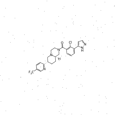 O=C(c1cccc(-c2ccn[nH]2)c1Cl)N1CCN2C[C@@H](c3ccc(C(F)(F)F)cn3)CC[C@@H]2C1